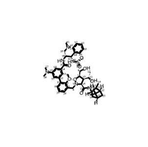 COc1c(CN2O[C@@H](CO)[C@@H]([C@H](C)O)[C@H]2C(=O)N[C@H]2C[C@H]3C[C@@H]([C@@H]2C)C3(C)C)cccc1-c1cc(C(=O)N[C@H](CN(C)C)[C@@H](N[SH](=O)=O)c2ccccc2)cc(N(C)C)c1